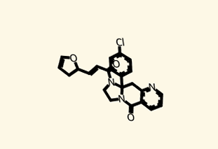 O=C(/C=C/C1CC=CO1)N1CCN2C(=O)c3cccnc3CC12c1ccc(Cl)cc1